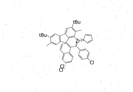 Cc1cc2c(cc1C(C)(C)C)-c1cc(C(C)(C)C)c(C)[c]([Zr+2](=[C](c3ccc(Cl)cc3)c3cccc4ccccc34)[CH]3C=CC=C3)c1C2.[Cl-].[Cl-]